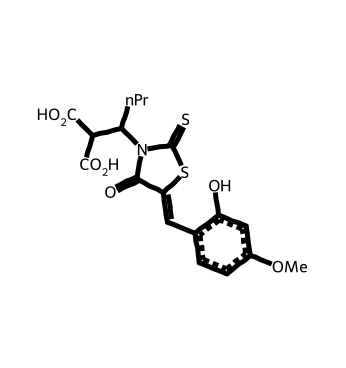 CCCC(C(C(=O)O)C(=O)O)N1C(=O)C(=Cc2ccc(OC)cc2O)SC1=S